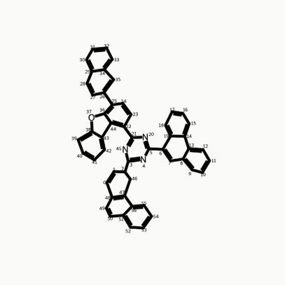 C1=CC(c2nc(-c3cc4ccccc4c4ccccc34)nc(-c3ccc(-c4ccc5ccccc5c4)c4oc5ccccc5c34)n2)Cc2c1ccc1ccccc21